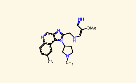 CO/C(C=N)=C/NCc1nc2cnc3ccc(C#N)cc3c2n1C1CCN(C)C1